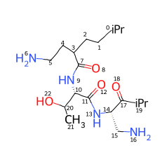 CC(C)CCC(CCN)C(=O)N[C@H](C(=O)N[C@@H](CN)C(=O)C(C)C)C(C)O